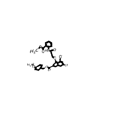 COC(=O)c1ccccc1NC(=O)COc1cc(C(=O)OCc2ccc(OC)cc2)cc2cc(Cl)cc(Cl)c12